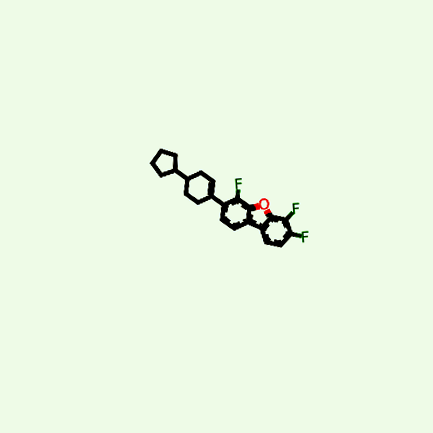 Fc1ccc2c(oc3c(F)c(C4=CCC(C5CCCC5)CC4)ccc32)c1F